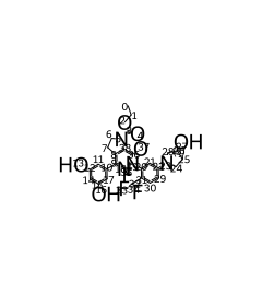 CCOC(=O)N1CCc2c(-c3cc(O)cc(O)c3)nn(-c3cc(N4CC[C@H](O)C4)ccc3C(F)(F)F)c(=O)c21